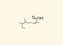 CCC(C)C(C)CCC=C(C)C(=O)O